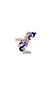 COc1ccc2c(n1)-c1nnc(NS(=O)(=O)C(C)C(OC(C)C)c3ncc(C)cn3)n1[C@@H](CO)CO2